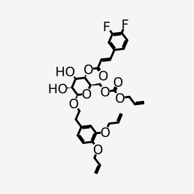 C=CCOC(=O)OC[C@H]1O[C@@H](OCCc2ccc(OCC=C)c(OCC=C)c2)[C@H](O)[C@@H](O)[C@@H]1OC(=O)C=Cc1ccc(F)c(F)c1